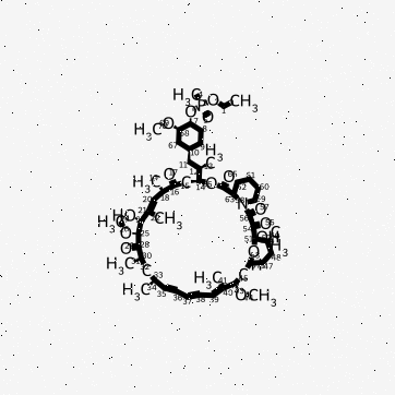 CCOP(C)(=O)O[C@@H]1CC[C@@H](C[C@@H](C)[C@@H]2CC(=O)[C@H](C)/C=C(\C)[C@@H](O)[C@@H](OC)C(=O)[C@H](C)C[C@H](C)/C=C/C=C/C=C(\C)[C@@H](OC)C[C@@H]3CC[C@@H](C)C(O)(O3)C(=O)C(=O)N3CCCCC3C(=O)O2)C[C@H]1OC